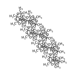 C[Si](C)(C)O[Si](C)(C)O[Si](C)(C)O[Si](C)(C)O[Si](C)(C)O[Si](C)(C)O[Si](C)(C)O[Si](C)(C)O[Si](C)(C)O[Si](C)(C)O[Si](C)(C)O[Si](C)(C)O[Si](C)(C)O[Si](C)(C)O[Si](C)(C)O[Si](C)(C)O[Si](C)(C)O[Si](C)(C)O[Si](C)(C)O[Si](C)(C)O[Si](C)(C)O[Si](C)(C)O[Si](C)(C)O[Si](C)(C)O[Si](C)(C)O[Si](C)(C)O[Si](C)(C)O[Si](C)(C)O[Si](C)(C)C